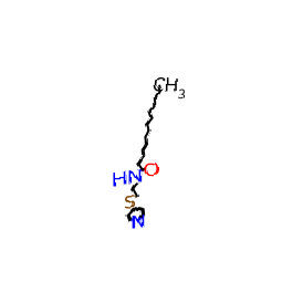 CCCCCCCCCCCCCC(=O)NCCCSc1ccncc1